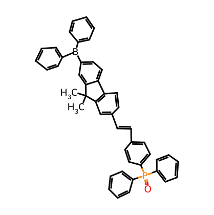 CC1(C)c2cc(/C=C/c3ccc(P(=O)(c4ccccc4)c4ccccc4)cc3)ccc2-c2ccc(B(c3ccccc3)c3ccccc3)cc21